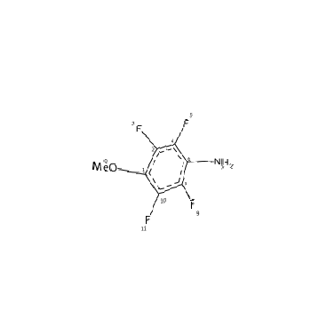 COc1c(F)c(F)c(N)c(F)c1F